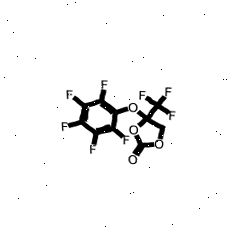 O=C1OCC(Oc2c(F)c(F)c(F)c(F)c2F)(C(F)(F)F)O1